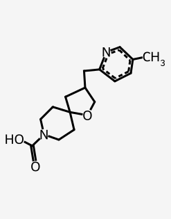 Cc1ccc(CC2COC3(CCN(C(=O)O)CC3)C2)nc1